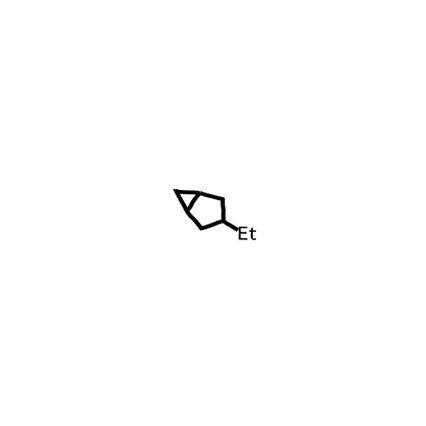 CCC1CC2CC2C1